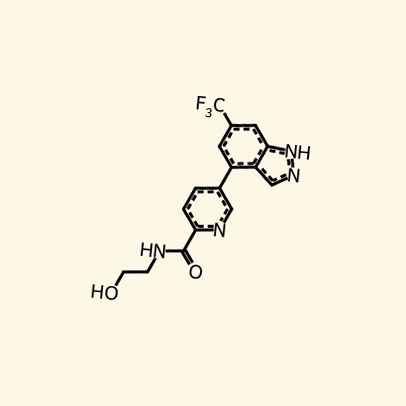 O=C(NCCO)c1ccc(-c2cc(C(F)(F)F)cc3[nH]ncc23)cn1